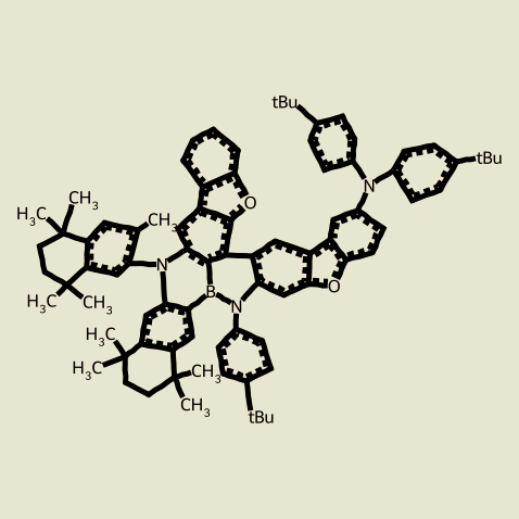 Cc1cc2c(cc1N1c3cc4c(cc3B3c5c1cc1c(oc6ccccc61)c5-c1cc5c(cc1N3c1ccc(C(C)(C)C)cc1)oc1ccc(N(c3ccc(C(C)(C)C)cc3)c3ccc(C(C)(C)C)cc3)cc15)C(C)(C)CCC4(C)C)C(C)(C)CCC2(C)C